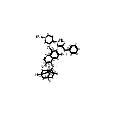 CC(C)(C)N1CCC(n2cc([C@@H](Nc3cc(Cl)c4ncc(C#N)c(NC5[C@H]6C[C@H]7C[C@H](C6)C[C@H]5C7)c4c3)c3ccccc3)nn2)CC1